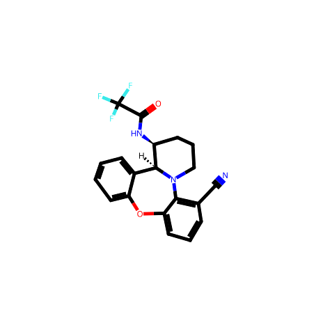 N#Cc1cccc2c1N1CCC[C@H](NC(=O)C(F)(F)F)[C@@H]1c1ccccc1O2